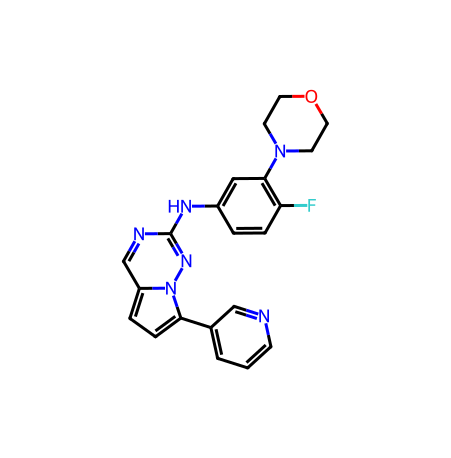 Fc1ccc(Nc2ncc3ccc(-c4cccnc4)n3n2)cc1N1CCOCC1